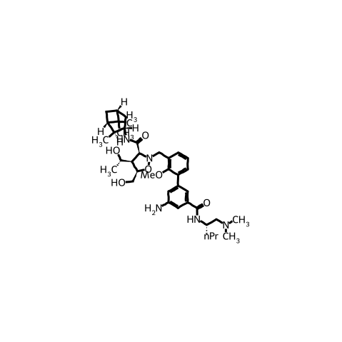 CCC[C@@H](CN(C)C)NC(=O)c1cc(N)cc(-c2cccc(CN3O[C@@H](CO)[C@@H]([C@H](C)O)[C@H]3C(=O)N[C@H]3C[C@H]4C[C@@H]([C@@H]3C)C4(C)C)c2OC)c1